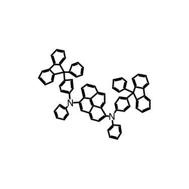 c1ccc(N(c2ccc(C3(c4ccccc4)c4ccccc4-c4ccccc43)cc2)c2cc3ccc(N(c4ccccc4)c4ccc(C5(c6ccccc6)c6ccccc6-c6ccccc65)cc4)c4ccc5cccc2c5c34)cc1